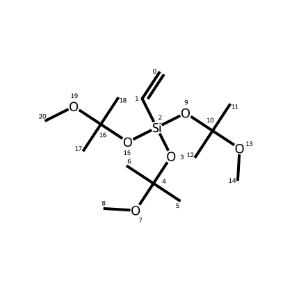 C=C[Si](OC(C)(C)OC)(OC(C)(C)OC)OC(C)(C)OC